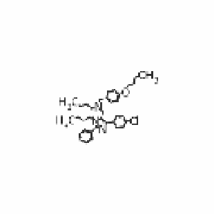 CCCCOc1ccc(CN(CCCC)Cc2c(-c3ccc(Cl)cc3)nc(-c3ccccc3)n2CCCC)cc1